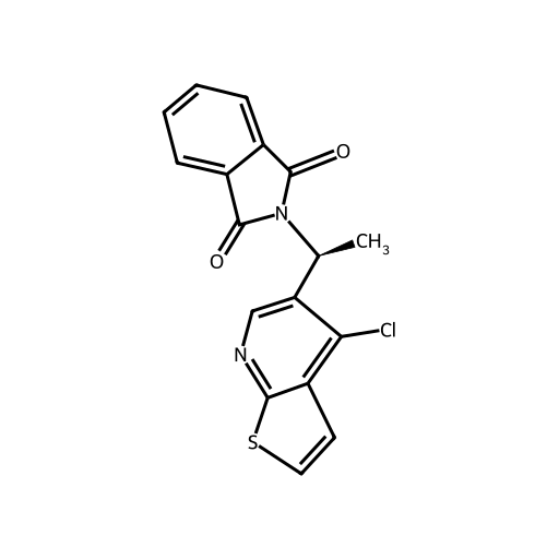 C[C@@H](c1cnc2sccc2c1Cl)N1C(=O)c2ccccc2C1=O